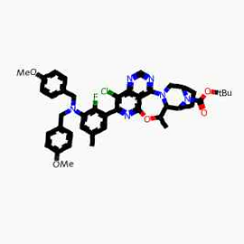 COc1ccc(CN(Cc2ccc(OC)cc2)c2cc(C)cc(-c3nc4c5c(ncnc5c3Cl)N3CC5CCC(C3C(C)O4)N5C(=O)OC(C)(C)C)c2F)cc1